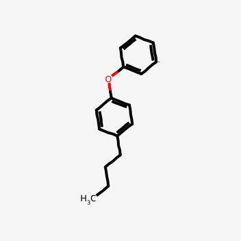 CCCCc1ccc(Oc2c[c]ccc2)cc1